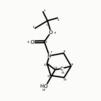 CC(C)(C)OC(=O)N1CC2CCC1C(O)C2